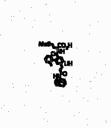 CSCC[C@H](NC(=O)c1ccc(CCC(=O)NC23CC4CC(CC(C4)C2)C3)cc1-c1ccccc1C)C(=O)O.[LiH]